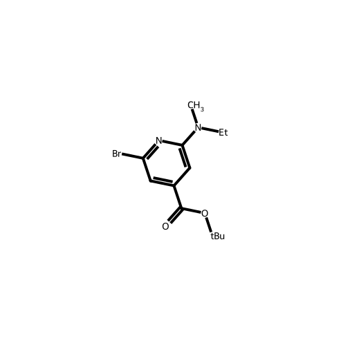 CCN(C)c1cc(C(=O)OC(C)(C)C)cc(Br)n1